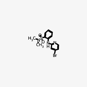 CN(C)S(=O)(=O)c1ccccc1Nc1cc(Br)ccn1